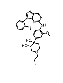 COc1cc(C2(O)CCN(CCF)CC2O)ccc1Nc1ncc2ccc(-c3ccccc3OC)n2n1